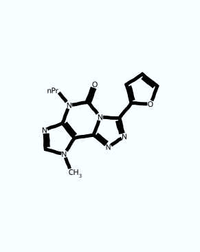 CCCn1c(=O)n2c(-c3ccco3)nnc2c2c1ncn2C